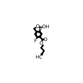 C#CCCCOC(=O)c1cc2c(cc1F)COB2O